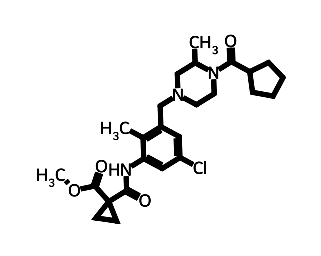 COC(=O)C1(C(=O)Nc2cc(Cl)cc(CN3CCN(C(=O)C4CCCC4)C(C)C3)c2C)CC1